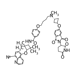 CN(CCCCOc1ccc(C(=O)N[C@H]2C(C)(C)[C@H](Oc3ccc(C#N)c4ncccc34)C2(C)C)cc1)[C@H]1C[C@H](Oc2ccc3c(c2)C(=O)N(C2CCC(=O)NC2=O)C3=O)C1